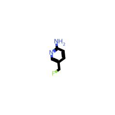 Nc1ccc(CF)cn1